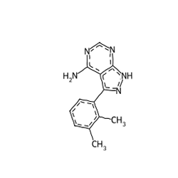 Cc1cccc(-c2n[nH]c3ncnc(N)c23)c1C